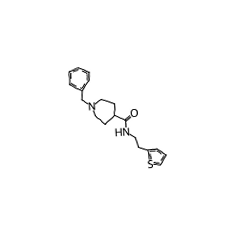 O=C(NCCc1cccs1)C1CCN(Cc2ccccc2)CC1